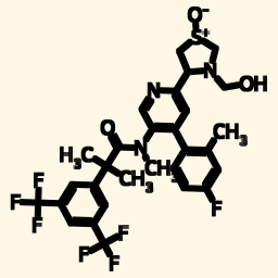 Cc1cc(F)ccc1-c1cc(C2C[S+]([O-])CN2CO)ncc1N(C)C(=O)C(C)(C)c1cc(C(F)(F)F)cc(C(F)(F)F)c1